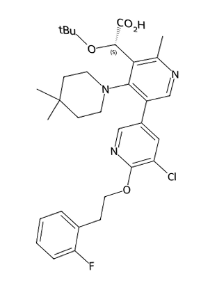 Cc1ncc(-c2cnc(OCCc3ccccc3F)c(Cl)c2)c(N2CCC(C)(C)CC2)c1[C@H](OC(C)(C)C)C(=O)O